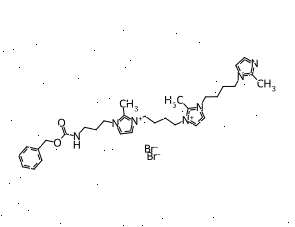 Cc1nccn1CCCCn1cc[n+](CCCC[n+]2ccn(CCCNC(=O)OCc3ccccc3)c2C)c1C.[Br-].[Br-]